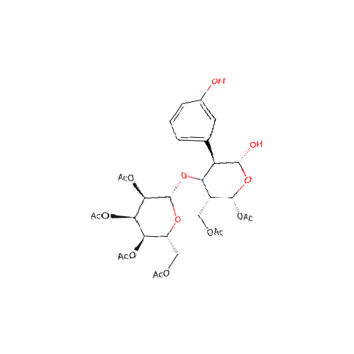 CC(=O)OC[C@@H]1C(O[C@@H]2O[C@H](COC(C)=O)[C@@H](OC(C)=O)[C@@H](OC(C)=O)[C@H]2OC(C)=O)[C@@H](c2cccc(O)c2)[C@H](O)O[C@@H]1OC(C)=O